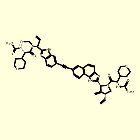 C=C[C@@H]1CN(C(=O)[C@@H](NC(=O)OC)C2CCOCC2)[C@H](c2nc3ccc4cc(C#Cc5ccc6nc([C@H](C=C)N(CC(C)C)C(=O)[C@@H](NC(=O)OC)C7CCOCC7)[nH]c6c5)ccc4c3[nH]2)C1=C